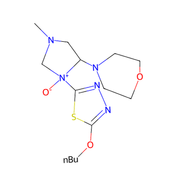 CCCCOc1nnc([N+]2([O-])CN(C)CC2N2CCOCC2)s1